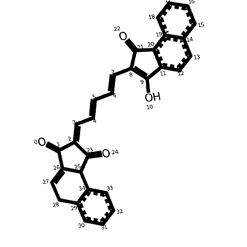 O=C1C(=CC=CC=CC2=C(O)c3ccc4ccccc4c3C2=O)C(=O)C2C1=CCc1ccccc12